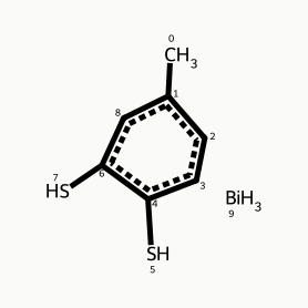 Cc1ccc(S)c(S)c1.[BiH3]